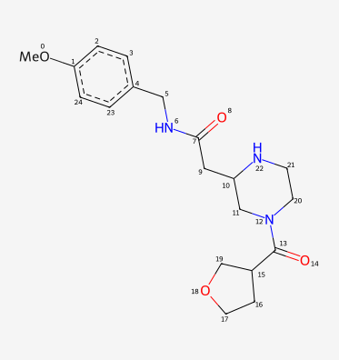 COc1ccc(CNC(=O)CC2CN(C(=O)C3CCOC3)CCN2)cc1